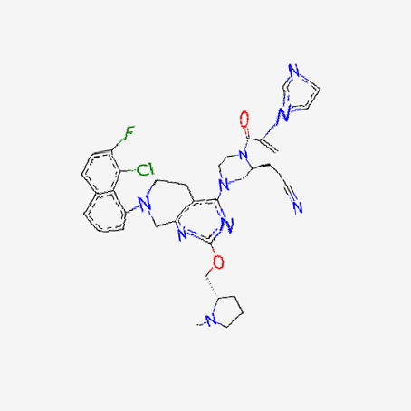 C=C(C(=O)N1CCN(c2nc(OC[C@@H]3CCCN3C)nc3c2CCN(c2cccc4ccc(F)c(Cl)c24)C3)C[C@@H]1CC#N)n1ccnc1